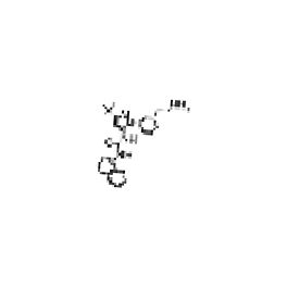 CC(C)(C)c1cc(NC(=O)Nc2cccc3ccccc23)n(-c2cccc(CCN)c2)n1